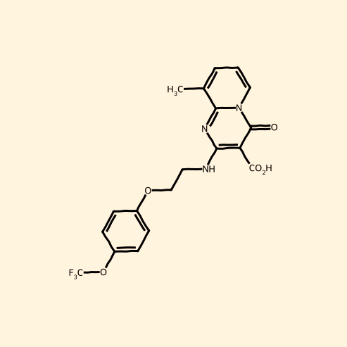 Cc1cccn2c(=O)c(C(=O)O)c(NCCOc3ccc(OC(F)(F)F)cc3)nc12